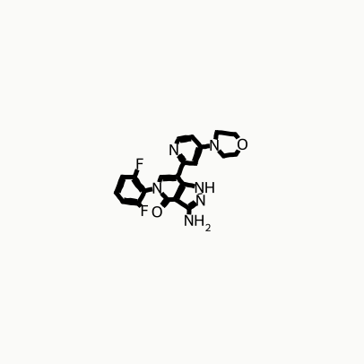 Nc1n[nH]c2c(-c3cc(N4CCOCC4)ccn3)cn(-c3c(F)cccc3F)c(=O)c12